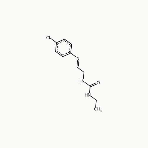 CCNC(=O)NCC=Nc1ccc(Cl)cc1